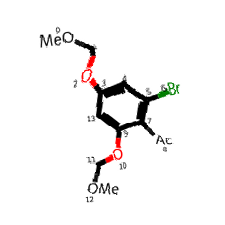 COCOc1cc(Br)c(C(C)=O)c(OCOC)c1